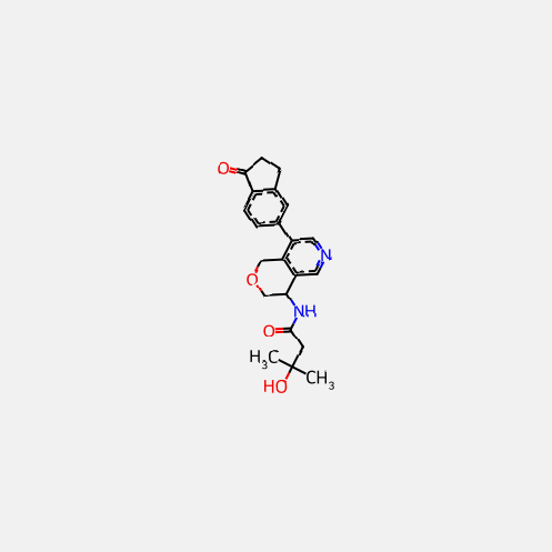 CC(C)(O)CC(=O)NC1COCc2c(-c3ccc4c(c3)CCC4=O)cncc21